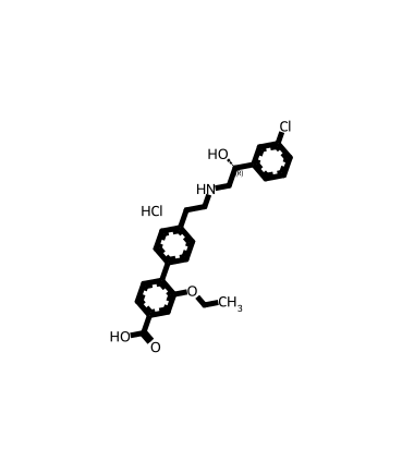 CCOc1cc(C(=O)O)ccc1-c1ccc(CCNC[C@H](O)c2cccc(Cl)c2)cc1.Cl